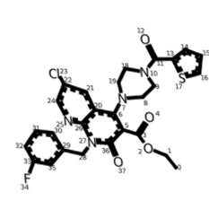 CCOC(=O)c1c(N2CCN(C(=O)c3cccs3)CC2)c2cc(Cl)cnc2n(Cc2cccc(F)c2)c1=O